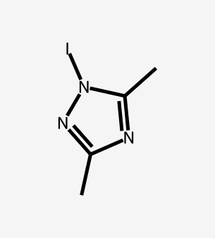 Cc1nc(C)n(I)n1